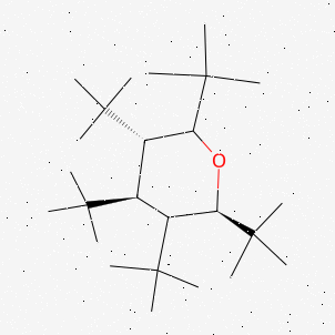 CC(C)(C)C1O[C@@H](C(C)(C)C)C(C(C)(C)C)[C@@H](C(C)(C)C)[C@@H]1C(C)(C)C